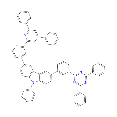 c1ccc(-c2cc(-c3ccccc3)nc(-c3cccc(-c4ccc5c(c4)c4cc(-c6cccc(-c7nc(-c8ccccc8)nc(-c8ccccc8)n7)c6)ccc4n5-c4ccccc4)c3)c2)cc1